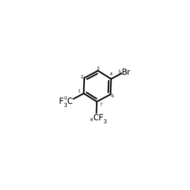 FC(F)(F)c1ccc(Br)cc1C(F)(F)F